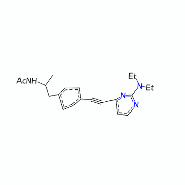 CCN(CC)c1nccc(C#Cc2ccc(CC(C)NC(C)=O)cc2)n1